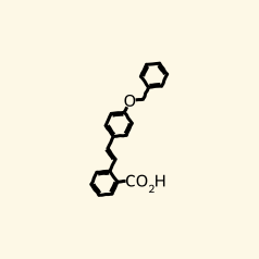 O=C(O)c1ccccc1C=Cc1ccc(OCc2ccccc2)cc1